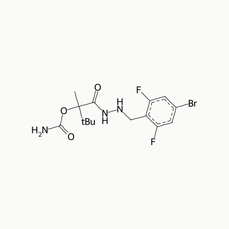 CC(C)(C)C(C)(OC(N)=O)C(=O)NNCc1c(F)cc(Br)cc1F